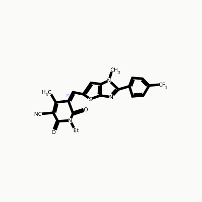 CCN1C(=O)C(C#N)=C(C)/C(=C/c2cc3c(nc(-c4ccc(C(F)(F)F)cc4)n3C)s2)C1=O